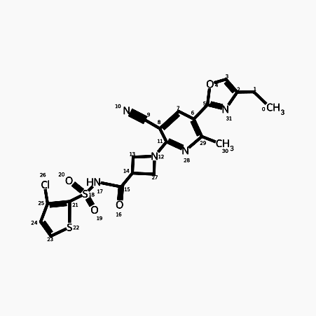 CCc1coc(-c2cc(C#N)c(N3CC(C(=O)NS(=O)(=O)c4sccc4Cl)C3)nc2C)n1